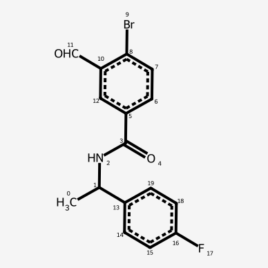 CC(NC(=O)c1ccc(Br)c(C=O)c1)c1ccc(F)cc1